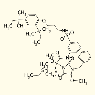 CCSC(C)(C)C(=O)C(OC)(C(=O)Nc1cccc(S(=O)(=O)NCCCOc2ccc(C(C)(C)CC)cc2C(C)(C)CC)c1)N1C(=O)C(OC)N(Cc2ccccc2)C1=O